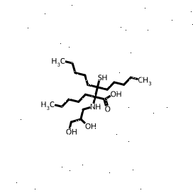 CCCCCC(S)(CCCCC)C(CCCCC)(NCC(O)CO)C(=O)O